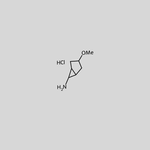 COC1CC2C(N)C2C1.Cl